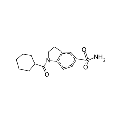 NS(=O)(=O)c1ccc2c(c1)CCN2C(=O)C1CCCCC1